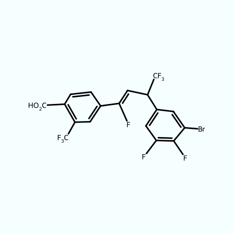 O=C(O)c1ccc(/C(F)=C/C(c2cc(F)c(F)c(Br)c2)C(F)(F)F)cc1C(F)(F)F